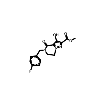 COC(=O)c1nn2c(c1O)C(=O)N(Cc1ccc(F)cc1)CC2